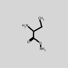 CCC(N)C(=O)ON